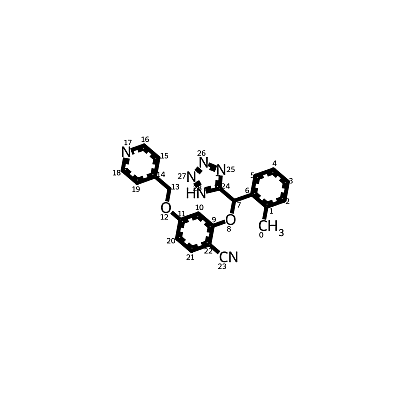 Cc1ccccc1C(Oc1cc(OCc2ccncc2)ccc1C#N)c1nnn[nH]1